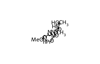 CCCOCCn1c(=O)c(N(C)CC(=O)NC[C@@H](C)O)nc2ncc(-c3ccc(OC)nc3)cc21